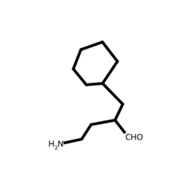 NCCC(C=O)CC1CCCCC1